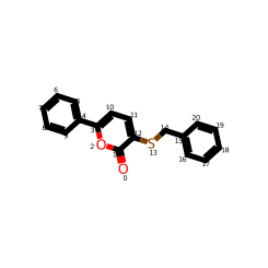 O=c1oc(-c2ccccc2)ccc1SCc1ccccc1